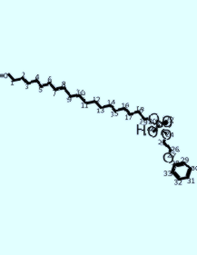 CCCCCCCCCCCCCCCCCCCCOP(=O)(O)OCCOc1ccccc1